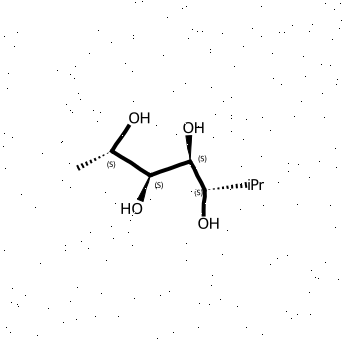 CC(C)[C@H](O)[C@H](O)[C@@H](O)[C@H](C)O